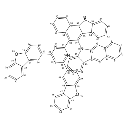 c1ccc2cc3c(cc2c1)c1ccccc1n3-c1c(-c2nc(-c3ccc4oc5ccccc5c4c3)nc(-c3ccc4oc5ccccc5c4c3)n2)c2ccccc2c2sc3ccccc3c12